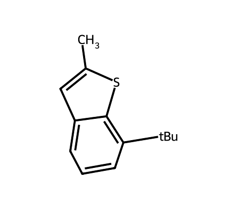 Cc1cc2cccc(C(C)(C)C)c2s1